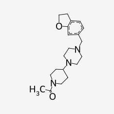 CC(=O)N1CCC(N2CCN(Cc3ccc4c(c3)OCC4)CC2)CC1